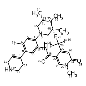 C[C@@H]1CN(c2cc(F)c(C3=CCNCC3)cc2NC(=O)c2cn(C)c(=O)cc2C(F)(F)F)C[C@H](C)N1C